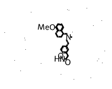 COc1cccc2c1CCCC2CN(C)CCc1ccc2c(c1)CC(=O)NO2